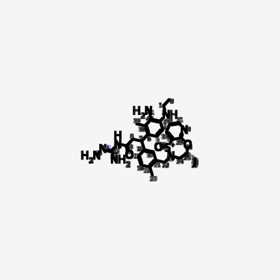 CCNc1ccc(C(CC(=O)N/C(N)=N/N)c2ccc(C)c(CN3C[C@@H](CC)Oc4ncccc4[S+]3[O-])c2)c(C)c1N